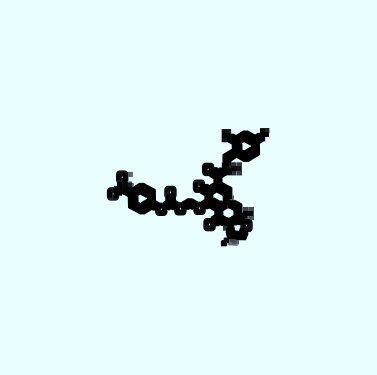 C[C@H]1CO[C@@H]2Cn3cc(C(=O)NCc4ccc(F)cc4F)c(=O)c(OCOC(=O)Oc4ccc([N+](=O)[O-])cc4)c3C(=O)N12